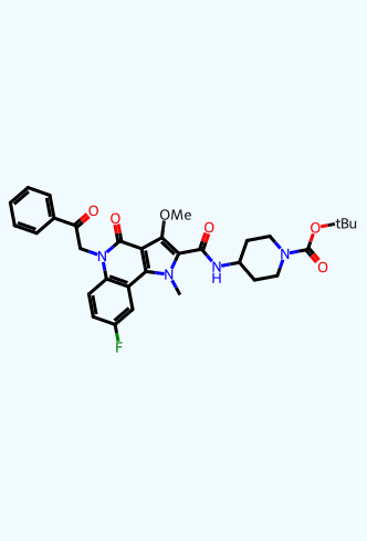 COc1c(C(=O)NC2CCN(C(=O)OC(C)(C)C)CC2)n(C)c2c1c(=O)n(CC(=O)c1ccccc1)c1ccc(F)cc21